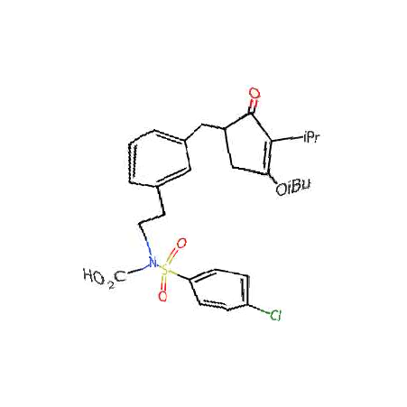 CC(C)COC1=C(C(C)C)C(=O)C(Cc2cccc(CCN(C(=O)O)S(=O)(=O)c3ccc(Cl)cc3)c2)C1